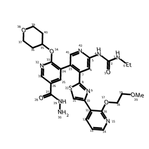 CCNC(=O)Nc1cc(-c2nc(-c3cccnc3OCCOC)cs2)c(-c2cc(C(=O)NN)cnc2OC2CCOCC2)cn1